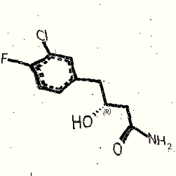 NC(=O)C[C@H](O)[CH]c1ccc(F)c(Cl)c1